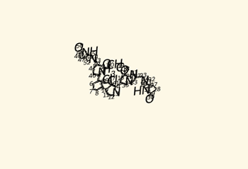 COc1nc(-c2cccc(-c3ccnc(-c4cc(OC)c5nc(CN6CC7(CCC(=O)N7)C6)cn5c4)c3Cl)c2Cl)ccc1CN1CC2(CCC(=O)N2)C1